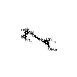 COCCc1cc(CNCCCCOCCNc2cc(-c3cnnc(N)c3)cc3[nH]ncc23)cc(OC(F)(F)F)c1